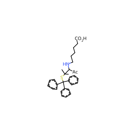 CC(=O)C(NCCCCCC(=O)O)C(C)(C)SC(c1ccccc1)(c1ccccc1)c1ccccc1